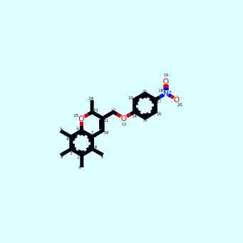 Cc1c(C)c(C)c2c(c1C)C=C(COc1ccc([N+](=O)[O-])cc1)C(C)O2